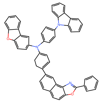 C1=C(c2ccc3ccc4oc(-c5ccccc5)nc4c3c2)CCC(N(c2ccc(-n3c4ccccc4c4ccccc43)cc2)c2ccc3oc4ccccc4c3c2)=C1